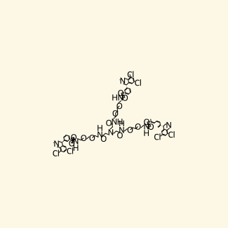 C=C(/C=C\C=C(/C)S(=O)(=O)NCCOCCOCCNC(=O)CCN(CCC(=O)NCCOCCOCCNS(=O)(=O)c1cccc([C@@H]2CN(C)Cc3c(Cl)cc(Cl)cc32)c1)CCC(=O)NCCOCCOCCNS(=O)(=O)c1cccc([C@@H]2CN(C)Cc3c(Cl)cc(Cl)cc32)c1)[C@@H]1CN(C)Cc2c(Cl)cc(Cl)cc21